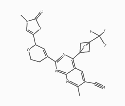 Cc1nc2nc(C3=CC(c4cn(C)c(=O)s4)OCC3)nc(C34CC(C(F)(F)F)(C3)C4)c2cc1C#N